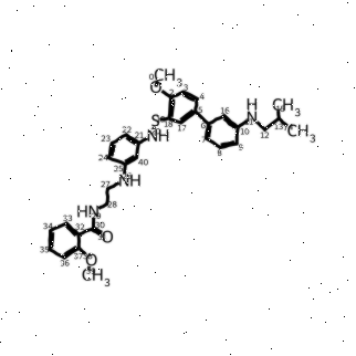 COc1ccc(-c2cccc(NCC(C)C)c2)cc1SNc1cccc(NCCNC(=O)c2ccccc2OC)c1